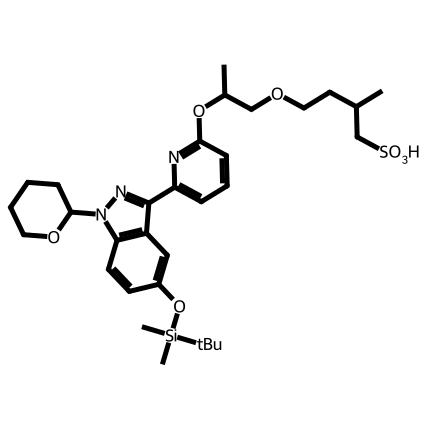 CC(CCOCC(C)Oc1cccc(-c2nn(C3CCCCO3)c3ccc(O[Si](C)(C)C(C)(C)C)cc23)n1)CS(=O)(=O)O